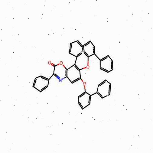 O=c1oc2c(-c3ccccc3)c(Oc3ccccc3-c3ccccc3)c(Oc3ccccc3-c3ccccc3)cc2nc1-c1ccccc1